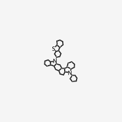 c1ccc(-n2c3ccccc3c3c4cc5c(cc4ccc32)c2ccccc2n5-c2ccc3c(c2)sc2ccccc23)cc1